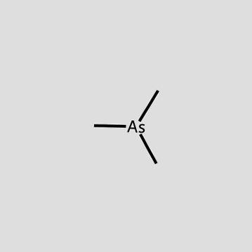 C[As](C)C